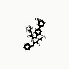 CCOC(=O)C(Cc1ccccc1)NC(Cc1ccc(-c2cccc(Cl)c2)cc1)C(=O)Nc1nnn[nH]1